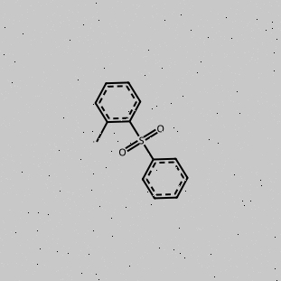 [CH2]c1ccccc1S(=O)(=O)c1ccccc1